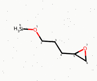 [SiH3]OCCCC1CO1